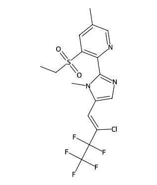 CCS(=O)(=O)c1cc(C)cnc1-c1ncc(/C=C(\Cl)C(F)(F)C(F)(F)F)n1C